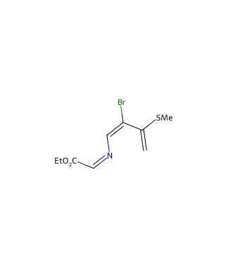 C=C(SC)/C(Br)=C\N=C/C(=O)OCC